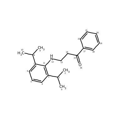 CC(C)c1cccc(C(C)C)c1NCCC(=O)c1ccccc1